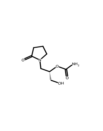 NC(=O)O[C@H](CO)CN1CCCC1=O